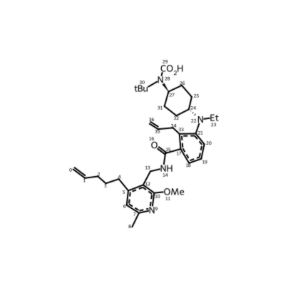 C=CCCCc1cc(C)nc(OC)c1CNC(=O)c1cccc(N(CC)[C@H]2CC[C@H](N(C(=O)O)C(C)(C)C)CC2)c1CC=C